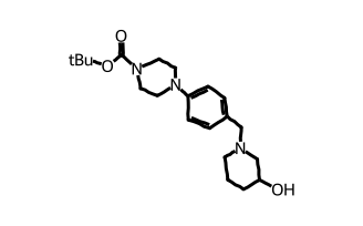 CC(C)(C)OC(=O)N1CCN(c2ccc(CN3CCCC(O)C3)cc2)CC1